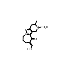 CC1Cc2nn3c(c2CN1C(=O)O)C(=O)C(=CO)CCC3